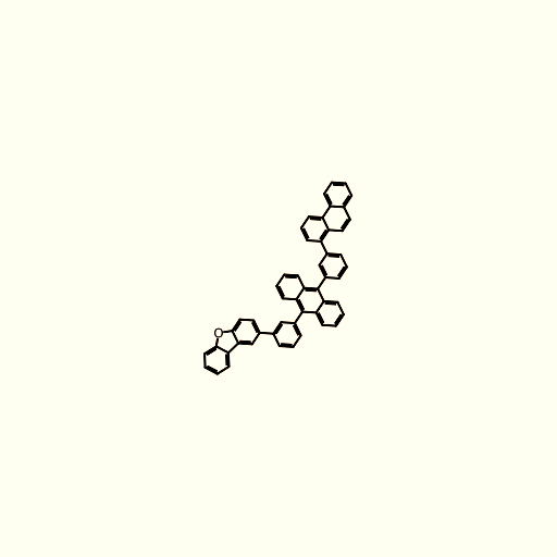 c1cc(-c2ccc3oc4ccccc4c3c2)cc(-c2c3ccccc3c(-c3cccc(-c4cccc5c4ccc4ccccc45)c3)c3ccccc23)c1